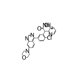 NC(=O)C(c1cc(-c2ncnc3cc(N4CCOCC4)ccc23)ccc1Cl)c1ncccc1Cl